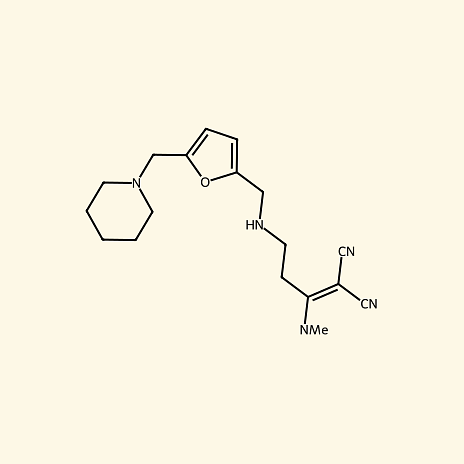 CNC(CCNCc1ccc(CN2CCCCC2)o1)=C(C#N)C#N